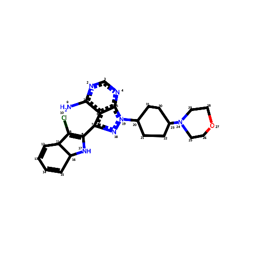 Nc1ncnc2c1c(C1=C(Cl)C3C=CC=CC3N1)nn2C1CCC(N2CCOCC2)CC1